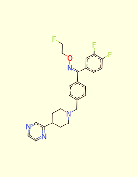 FCCON=C(c1ccc(CN2CCC(c3cnccn3)CC2)cc1)c1ccc(F)c(F)c1